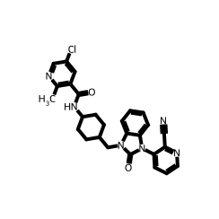 Cc1ncc(Cl)cc1C(=O)NC1CCC(Cn2c(=O)n(-c3cccnc3C#N)c3ccccc32)CC1